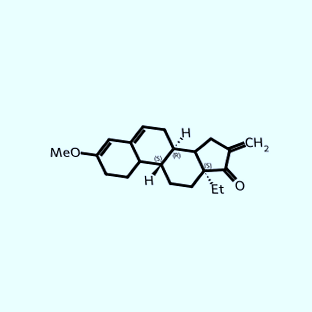 C=C1CC2[C@@H]3CC=C4C=C(OC)CCC4[C@H]3CC[C@]2(CC)C1=O